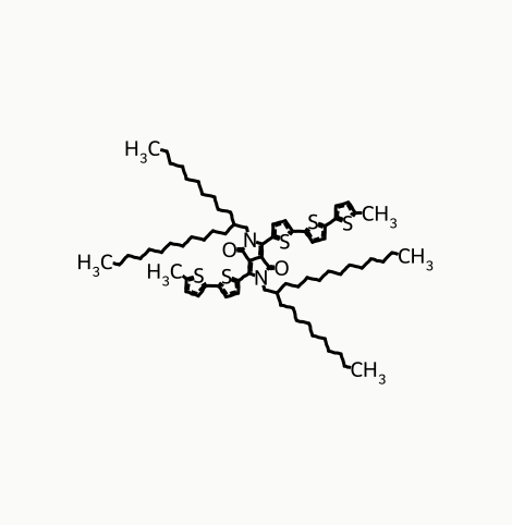 CCCCCCCCCCCCC(CCCCCCCCCC)CN1C(=O)C2=C(c3ccc(-c4ccc(-c5ccc(C)s5)s4)s3)N(CC(CCCCCCCCCC)CCCCCCCCCCCC)C(=O)C2=C1c1ccc(-c2ccc(C)s2)s1